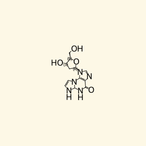 O=C1NC2NC=CN2c2c1ncn2[C@H]1C[C@H](O)[C@@H](CO)O1